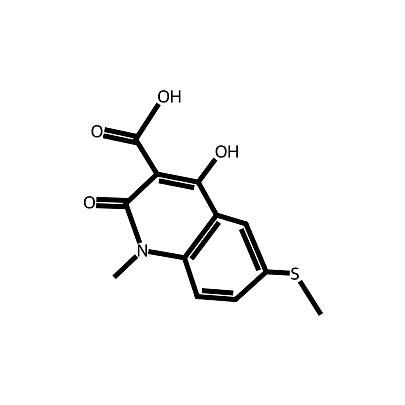 CSc1ccc2c(c1)c(O)c(C(=O)O)c(=O)n2C